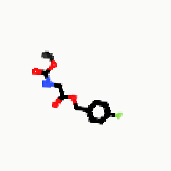 CC(C)(C)OC(=O)NCC(=O)OCc1ccc(F)cc1